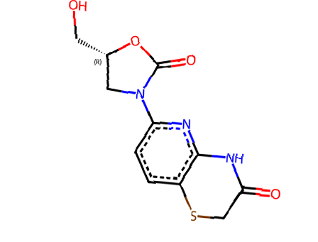 O=C1CSc2ccc(N3C[C@H](CO)OC3=O)nc2N1